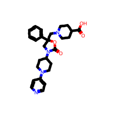 O=C(O)C1CCN(CC2(c3ccccc3)CN(C3CCN(c4ccncc4)CC3)C(=O)O2)CC1